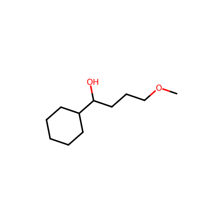 COCCCC(O)C1CCCCC1